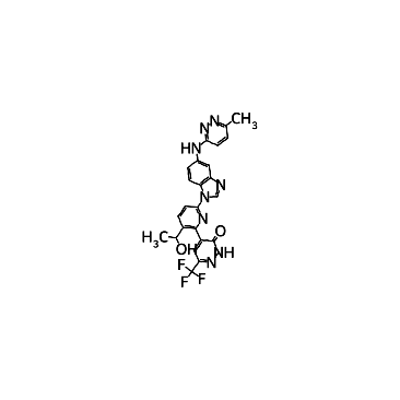 Cc1ccc(Nc2ccc3c(c2)ncn3-c2ccc(C(C)O)c(-c3cc(C(F)(F)F)n[nH]c3=O)n2)nn1